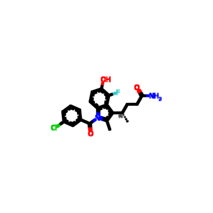 Cc1c([C@@H](C)CCC(N)=O)c2c(F)c(O)ccc2n1C(=O)c1cccc(Cl)c1